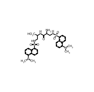 CN(C)c1cccc2c(S(=O)(=O)NCC(N)C(=O)NC(CNS(=O)(=O)c3cccc4c(N(C)C)cccc34)C(=O)O)cccc12